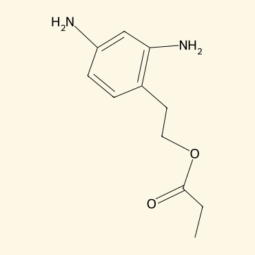 CCC(=O)OCCc1ccc(N)cc1N